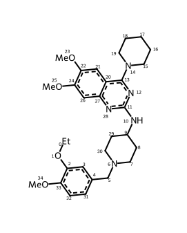 CCOc1cc(CN2CCC(Nc3nc(N4CCCCC4)c4cc(OC)c(OC)cc4n3)CC2)ccc1OC